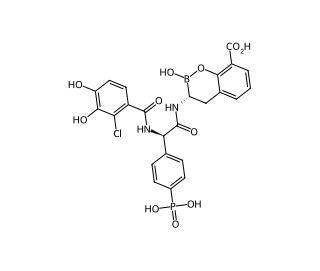 O=C(N[C@@H](C(=O)N[C@H]1Cc2cccc(C(=O)O)c2OB1O)c1ccc(P(=O)(O)O)cc1)c1ccc(O)c(O)c1Cl